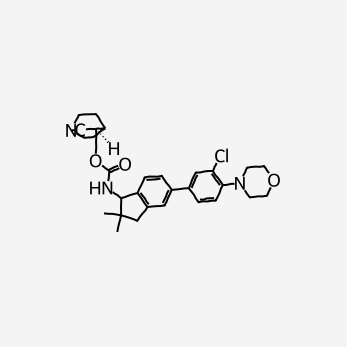 CC1(C)Cc2cc(-c3ccc(N4CCOCC4)c(Cl)c3)ccc2C1NC(=O)O[C@H]1CN2CCC1CC2